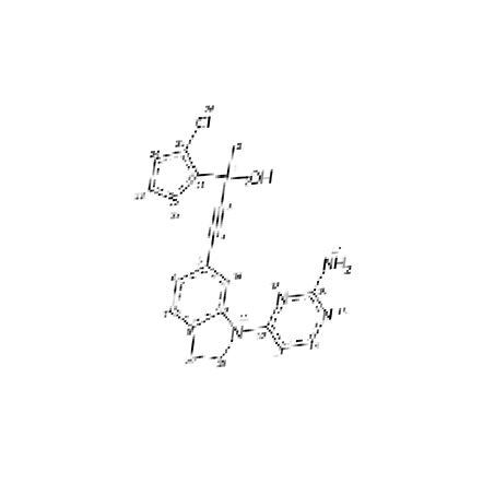 CC(O)(C#Cc1ccc2c(c1)N(c1ccnc(N)n1)CC2)c1sccc1Cl